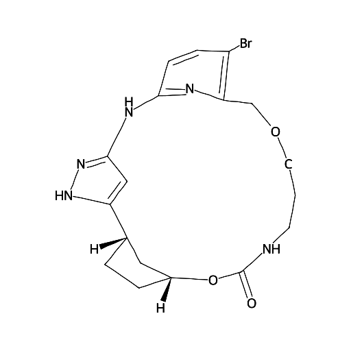 O=C1NCCCOCc2nc(ccc2Br)Nc2cc([nH]n2)[C@H]2CC[C@H](C2)O1